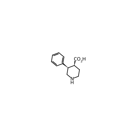 O=C(O)[C@H]1CCNC[C@H]1c1ccccc1